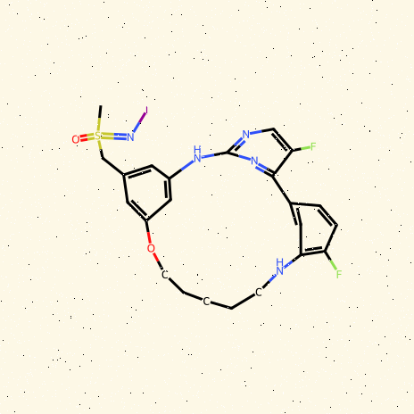 CS(=O)(Cc1cc2cc(c1)OCCCCCNc1cc(ccc1F)-c1nc(ncc1F)N2)=NI